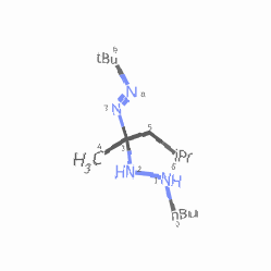 CCCCNNC(C)(CC(C)C)/N=N/C(C)(C)C